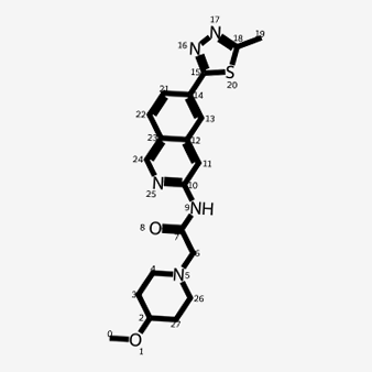 COC1CCN(CC(=O)Nc2cc3cc(-c4nnc(C)s4)ccc3cn2)CC1